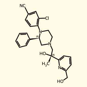 C[C@@](O)(CN1CCN(c2ccc(C#N)cc2Cl)[C@H](c2ccccc2)C1)c1cccc(CO)n1